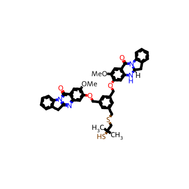 COc1cc2c(cc1OCc1cc(COc3cc4nc5n(c(=O)c4cc3OC)-c3ccccc3C5)cc(CSCC(C)(C)S)c1)N[C@@H]1Cc3ccccc3N1C2=O